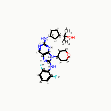 CC(C)(O)[C@H]1CC[C@@H](Nc2ncc3nc(Nc4c(F)cccc4F)n(C4CCOCC4)c3n2)C1